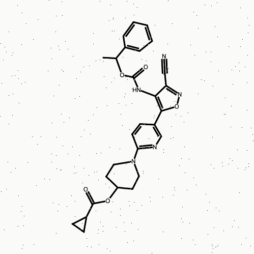 CC(OC(=O)Nc1c(C#N)noc1-c1ccc(N2CCC(OC(=O)C3CC3)CC2)nc1)c1ccccc1